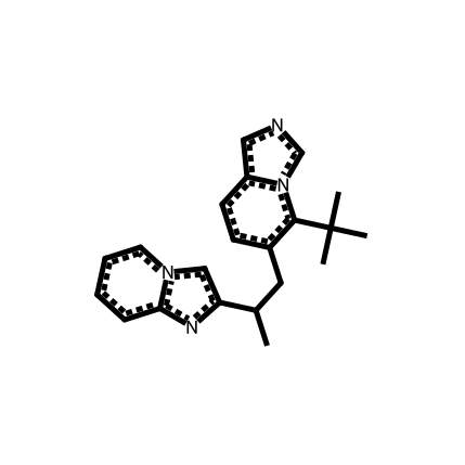 CC(Cc1ccc2cncn2c1C(C)(C)C)c1cn2ccccc2n1